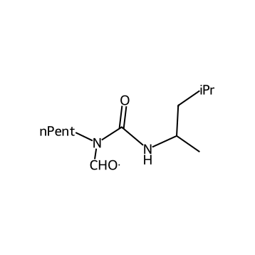 CCCCCN([C]=O)C(=O)NC(C)CC(C)C